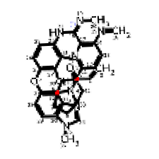 C=CC(=O)N1C2CCC1CN(c1ccc(N=C)c(/C(=N\C)Nc3ccc(Oc4ccc5c(c4)ncn5C)c(C)c3F)n1)C2